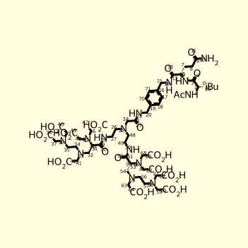 CC[C@@H](C)C(NC(C)=O)C(=O)N[C@@H](CCC(N)=O)C(=O)NCc1ccc(CNC(=O)CN(CCNC(=O)[C@@H](CN(CCN(CC(=O)O)CC(=O)O)CC(=O)O)N(CC(=O)O)CC(=O)O)CCNC(=O)[C@@H](CN(CCN(CC(=O)O)CC(=O)O)CC(=O)O)N(CC(=O)O)CC(=O)O)cc1